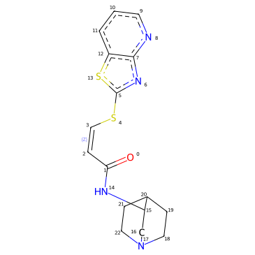 O=C(/C=C\Sc1nc2ncccc2s1)NC1CN2CCC1CC2